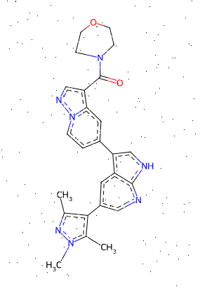 Cc1nn(C)c(C)c1-c1cnc2[nH]cc(-c3ccn4ncc(C(=O)N5CCOCC5)c4c3)c2c1